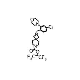 O=C(OC(C(F)(F)F)C(F)(F)F)N1CCC2(CC1)CN(Cc1ccc(Cl)cc1N1CCOCC1)C2